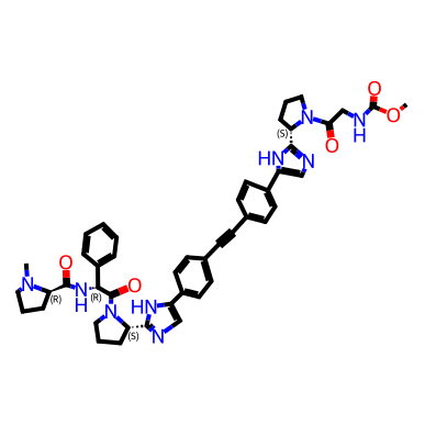 COC(=O)NCC(=O)N1CCC[C@H]1c1ncc(-c2ccc(C#Cc3ccc(-c4cnc([C@@H]5CCCN5C(=O)[C@H](NC(=O)[C@H]5CCCN5C)c5ccccc5)[nH]4)cc3)cc2)[nH]1